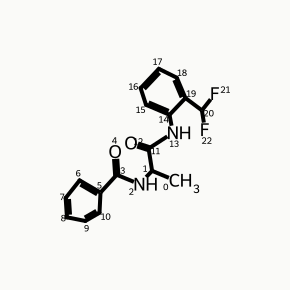 CC(NC(=O)c1ccccc1)C(=O)Nc1ccccc1C(F)F